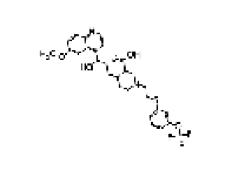 COc1ccc2nccc(C(O)CC[C@@H]3CCN(CCSc4cccc(OC(F)(F)F)c4)C[C@@H]3C(=O)O)c2c1